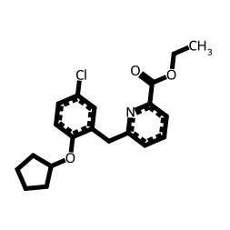 CCOC(=O)c1cccc(Cc2cc(Cl)ccc2OC2CCCC2)n1